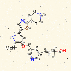 CNc1ncc(-c2cnc(C3CCN(C)CC3)s2)cc1OCc1cncc(C#CC(C)(C)O)c1